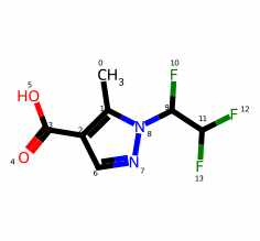 Cc1c(C(=O)O)cnn1C(F)C(F)F